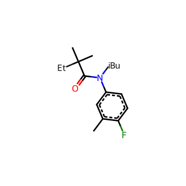 CCC(C)N(C(=O)C(C)(C)CC)c1ccc(F)c(C)c1